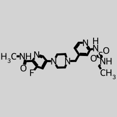 CCNS(=O)(=O)Nc1cc(CN2CCN(c3cnc(C(=O)NC)c(F)c3)CC2)ccn1